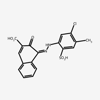 Cc1cc(S(=O)(=O)O)c(N/N=C2\C(=O)C(C(=O)O)=Cc3ccccc32)cc1Cl